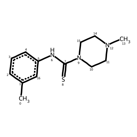 Cc1cccc(NC(=S)N2CCN(C)CC2)c1